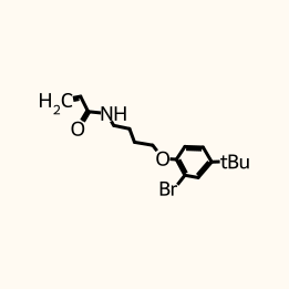 C=CC(=O)NCCCCOc1ccc(C(C)(C)C)cc1Br